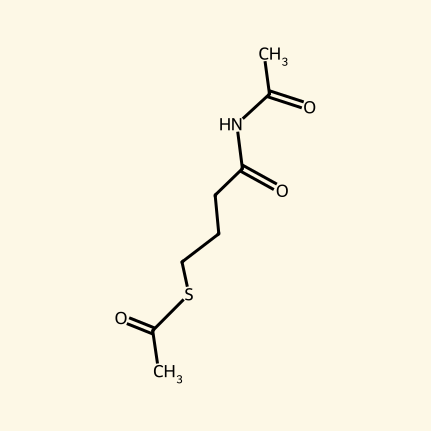 CC(=O)NC(=O)CCCSC(C)=O